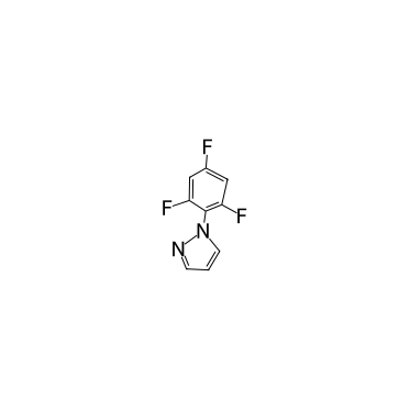 Fc1cc(F)c(-n2cccn2)c(F)c1